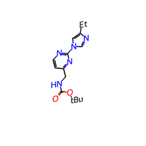 CCc1cn(-c2nccc(CNC(=O)OC(C)(C)C)n2)cn1